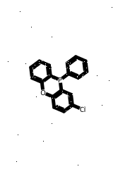 Clc1ccc2c(c1)P(c1ccccc1)c1ccccc1O2